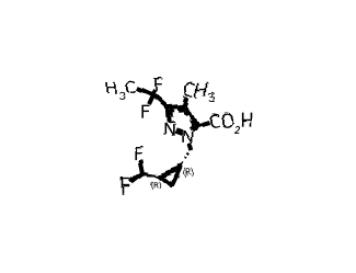 Cc1c(C(C)(F)F)nn(C[C@@H]2C[C@H]2C(F)F)c1C(=O)O